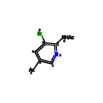 CC(=O)Nc1ncc(C(C)=O)cc1Br